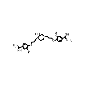 COc1cc(C(=N)N)ccc1OCCCN1CCN(CCCOc2ccc(C(=N)N)cc2OC)CC1.Cl